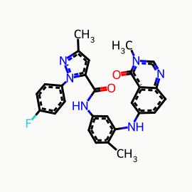 Cc1cc(C(=O)Nc2ccc(C)c(Nc3ccc4ncn(C)c(=O)c4c3)c2)n(-c2ccc(F)cc2)n1